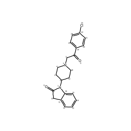 O=C(CN1CCC(N2C(=O)Cc3ccccc32)CC1)c1ccc(Cl)cc1